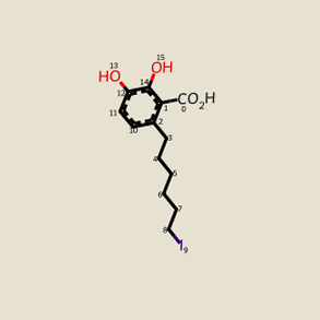 O=C(O)c1c(CCCCCCI)ccc(O)c1O